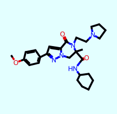 COc1ccc(-c2cc3n(n2)CC(C)(C(=O)NC2CCCCC2)N(CCN2CCCC2)C3=O)cc1